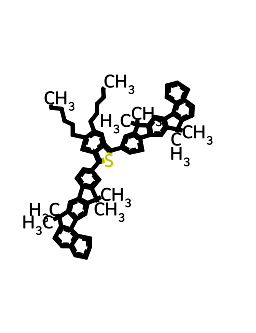 CCCCCCc1cc2c(-c3ccc4c(c3)C(C)(C)c3cc5c(cc3-4)C(C)(C)c3ccc4ccccc4c3-5)sc(-c3ccc4c(c3)C(C)(C)c3cc5c(cc3-4)C(C)(C)c3ccc4ccccc4c3-5)c2cc1CCCCCC